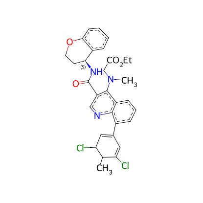 CCOC(=O)CN(C)c1c(C(=O)N[C@H]2CCOc3ccccc32)cnc2c(C3=CC(Cl)C(C)C(Cl)=C3)cccc12